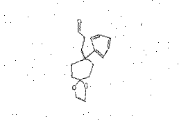 O=CCCC1(c2ccccc2)CCC2(CC1)OCCO2